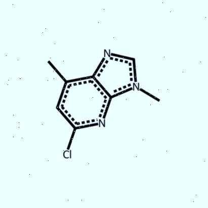 Cc1cc(Cl)nc2c1ncn2C